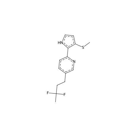 CSc1cc[nH]c1-c1ccc(CCC(C)(F)F)cn1